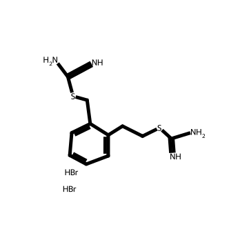 Br.Br.N=C(N)SCCc1ccccc1CSC(=N)N